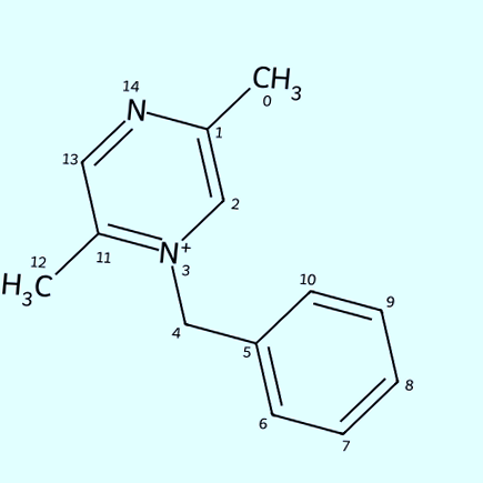 Cc1c[n+](Cc2ccccc2)c(C)cn1